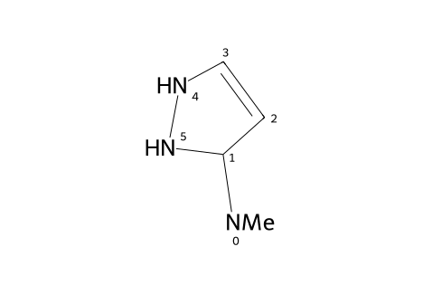 CNC1C=CNN1